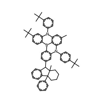 Cc1cc2c3c(c1)N(c1cccc(C(C)(C)C)c1)c1cc(C(C)(C)C)ccc1B3c1ccc(C3c4ccccc4C4(c5ccccc5)CCCCC34C)cc1N2c1ccc(C(C)(C)C)cc1